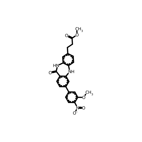 COC(=O)CCc1ccc2c(c1)NC(=O)c1ccc(-c3ccc([N+](=O)[O-])c(OC)c3)cc1N2